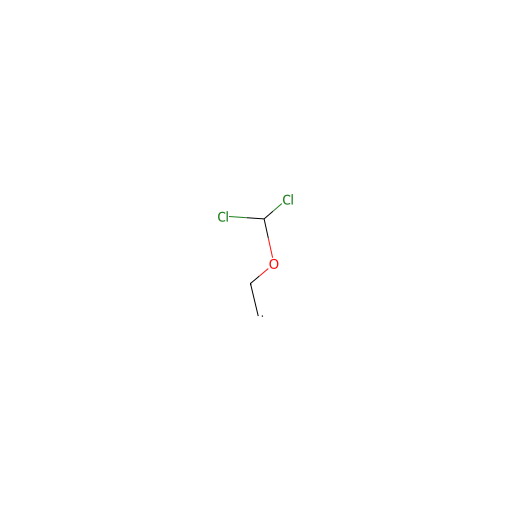 [CH2]COC(Cl)Cl